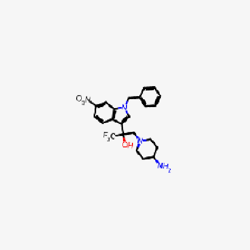 NC1CCN(CC(O)(c2cn(Cc3ccccc3)c3cc([N+](=O)[O-])ccc23)C(F)(F)F)CC1